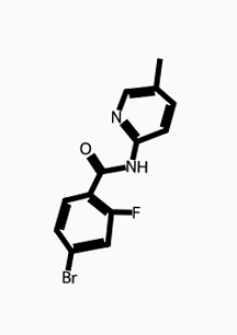 Cc1ccc(NC(=O)c2ccc(Br)cc2F)nc1